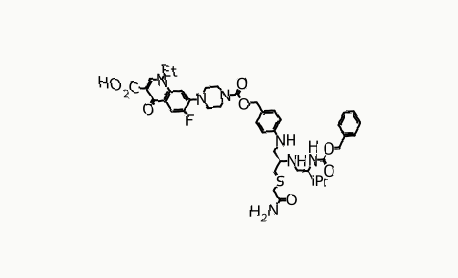 CCn1cc(C(=O)O)c(=O)c2cc(F)c(N3CCN(C(=O)OCc4ccc(NC[C@H](CSCC(N)=O)NC[C@@H](NC(=O)OCc5ccccc5)C(C)C)cc4)CC3)cc21